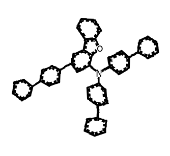 c1ccc(-c2ccc(-c3cc(N(c4ccc(-c5ccccc5)cc4)c4ccc(-c5ccccc5)cc4)c4oc5ccccc5c4c3)cc2)cc1